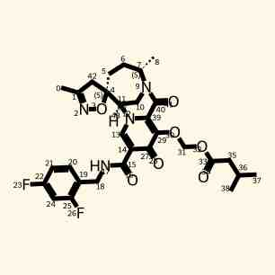 CC1=NO[C@@]2(CC[C@H](C)N3C[C@H]2n2cc(C(=O)NCc4ccc(F)cc4F)c(=O)c(OCOC(=O)CC(C)C)c2C3=O)C1